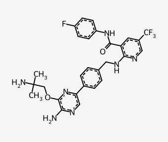 CC(C)(N)COc1nc(-c2ccc(CNc3ncc(C(F)(F)F)cc3C(=O)Nc3ccc(F)cc3)cc2)cnc1N